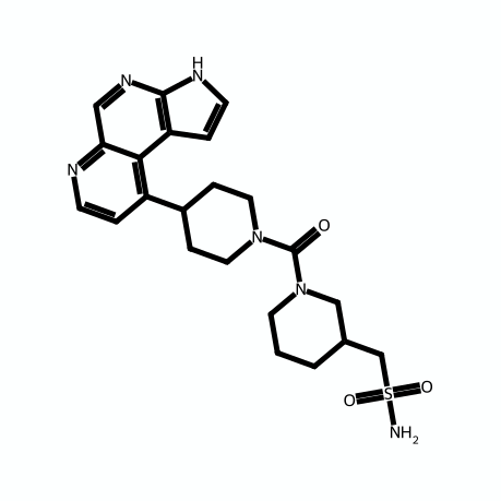 NS(=O)(=O)CC1CCCN(C(=O)N2CCC(c3ccnc4cnc5[nH]ccc5c34)CC2)C1